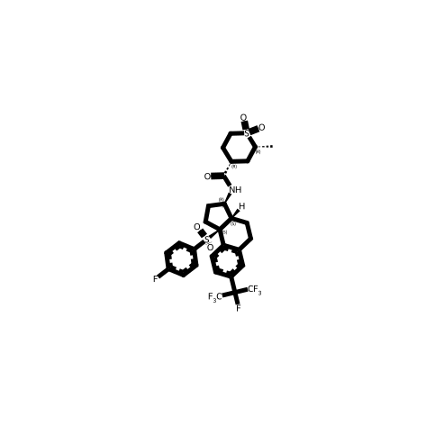 C[C@@H]1C[C@H](C(=O)N[C@@H]2CC[C@@]3(S(=O)(=O)c4ccc(F)cc4)c4ccc(C(F)(C(F)(F)F)C(F)(F)F)cc4CC[C@@H]23)CCS1(=O)=O